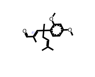 COc1ccc(C(C)(/C=C(\C)C=O)CC=C(C)C)c(OC)c1